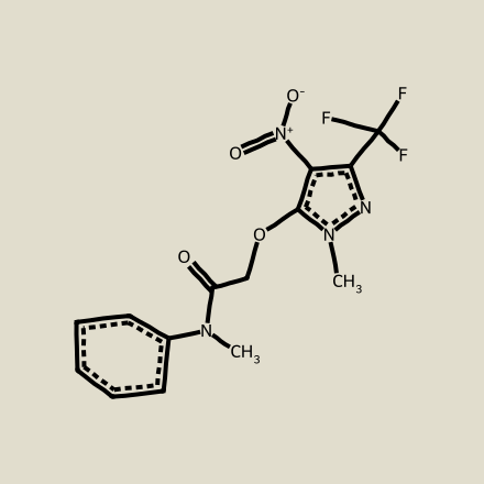 CN(C(=O)COc1c([N+](=O)[O-])c(C(F)(F)F)nn1C)c1ccccc1